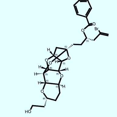 C=C(Br)C[C@H](CC[C@@]12C[C@H]3O[C@H]4[C@@H](O1)[C@H]1O[C@@H](CCO)CC[C@@H]1O[C@H]4[C@H]3O2)OC(=O)c1ccccc1